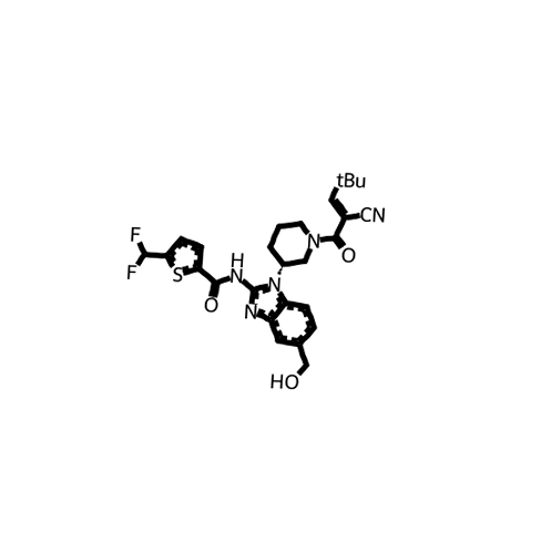 CC(C)(C)C=C(C#N)C(=O)N1CCC[C@@H](n2c(NC(=O)c3ccc(C(F)F)s3)nc3cc(CO)ccc32)C1